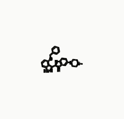 CN1CCN(c2ccc3nc(-c4n[nH]c5cccc(OCc6ccccc6)c45)[nH]c3c2)CC1